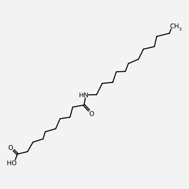 CCCCCCCCCCCCNC(=O)CCCCCCCCC(=O)O